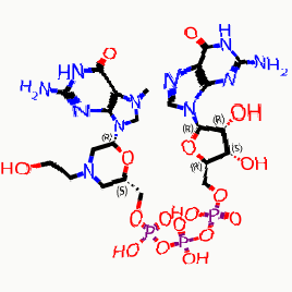 CN1CN([C@H]2CN(CCO)C[C@@H](COP(=O)(O)OP(=O)(O)OP(=O)(O)OC[C@H]3O[C@@H](n4cnc5c(=O)[nH]c(N)nc54)[C@H](O)[C@@H]3O)O2)c2nc(N)[nH]c(=O)c21